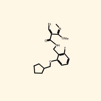 CC/C=C(C(=O)NCc1c(F)cccc1OCC1CCCC1)\C(=N/C)OC